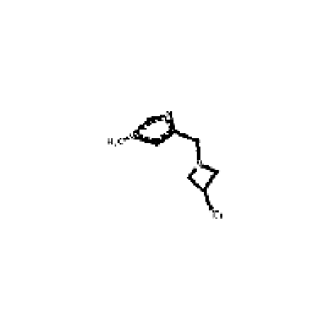 CC(C)C1CN(Cc2cn(C)cn2)C1